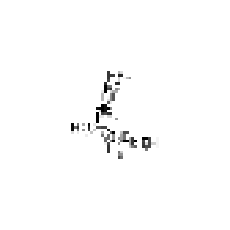 CCC.F.F.F.F.F.F.F.F